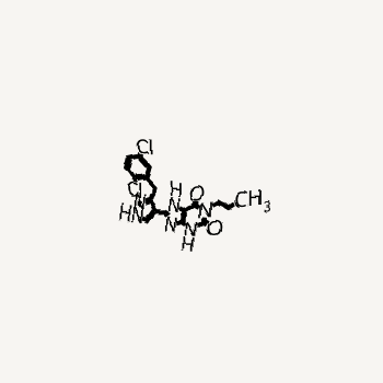 CCCn1c(=O)[nH]c2nc(-c3c[nH]nc3Cc3cc(Cl)ccc3Cl)[nH]c2c1=O